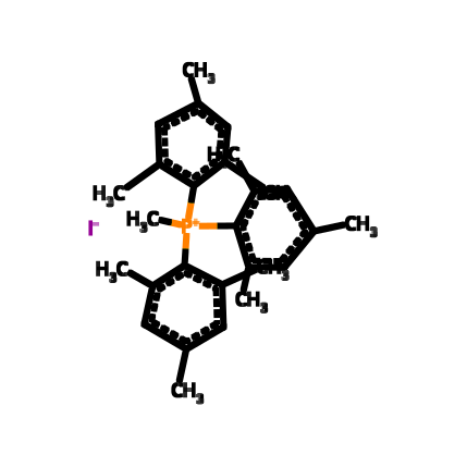 Cc1cc(C)c([P+](C)(c2c(C)cc(C)cc2C)c2c(C)cc(C)cc2C)c(C)c1.[I-]